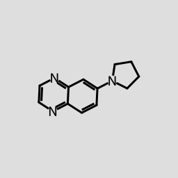 c1cnc2cc(N3CCCC3)ccc2n1